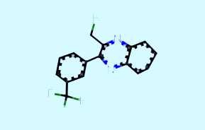 FC(F)(F)c1cccc(-c2nc3ccccc3nc2CBr)c1